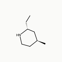 CC[C@@H]1C[C@@H](C)CCN1